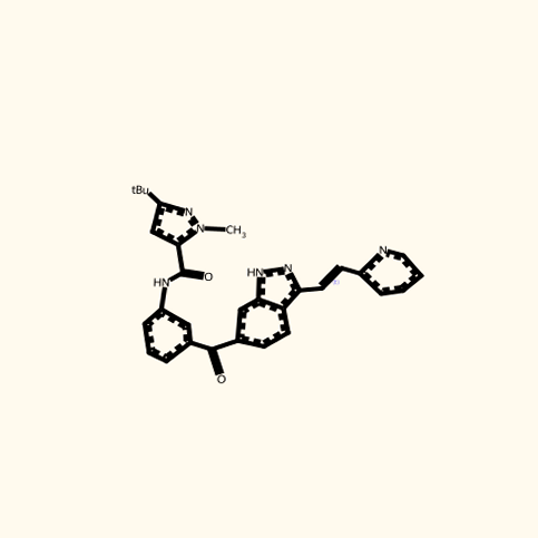 Cn1nc(C(C)(C)C)cc1C(=O)Nc1cccc(C(=O)c2ccc3c(/C=C/c4ccccn4)n[nH]c3c2)c1